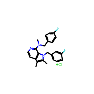 Cc1c(C)n(Cc2cccc(F)c2)c2c(N(C)Cc3ccc(F)cc3)nccc12.Cl